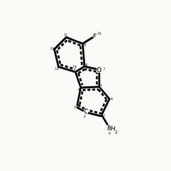 Bc1ccc2c(c1)oc1c(F)cccc12